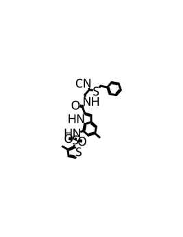 Cc1cc(NS(=O)(=O)c2sccc2C)c2[nH]c(C(=O)NCC(C#N)SCc3ccccc3)cc2c1